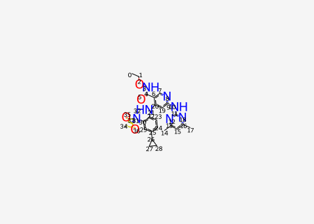 CCONC(=O)c1cnc(Nc2nc(C)cc(C)n2)cc1Nc1ccc(C2CC2)cc1N(C)S(C)(=O)=O